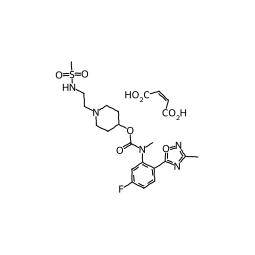 Cc1noc(-c2ccc(F)cc2N(C)C(=O)OC2CCN(CCNS(C)(=O)=O)CC2)n1.O=C(O)/C=C\C(=O)O